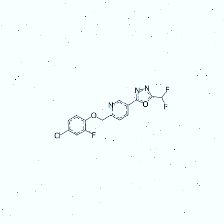 Fc1cc(Cl)ccc1OCc1ccc(-c2nnc(C(F)F)o2)cn1